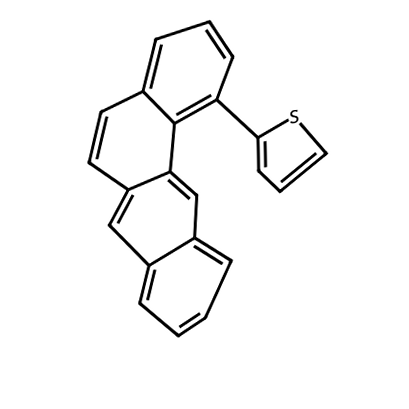 c1csc(-c2cccc3ccc4cc5ccccc5cc4c23)c1